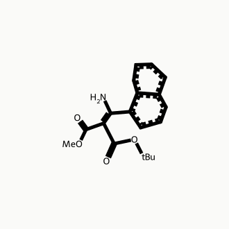 COC(=O)C(C(=O)OC(C)(C)C)=C(N)c1cccc2ccccc12